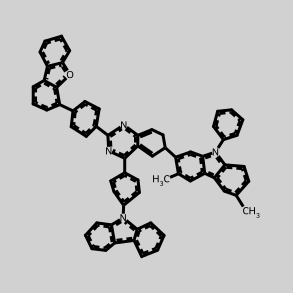 Cc1ccc2c(c1)c1cc(C)c(C3C=c4c(-c5ccc(-n6c7ccccc7c7ccccc76)cc5)nc(-c5ccc(-c6cccc7c6oc6ccccc67)cc5)nc4=CC3)cc1n2-c1ccccc1